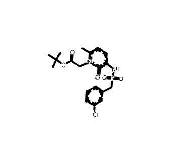 Cc1ccc(NS(=O)(=O)Cc2cccc(Cl)c2)c(=O)n1CC(=O)OC(C)(C)C